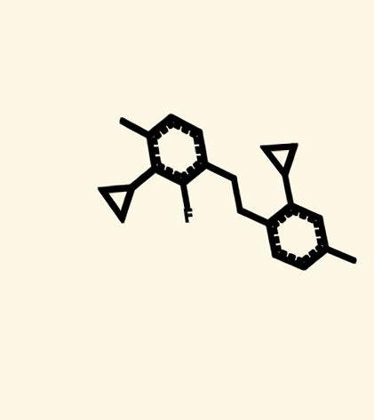 Cc1ccc(CCc2ccc(C)c(C3CC3)c2F)c(C2CC2)c1